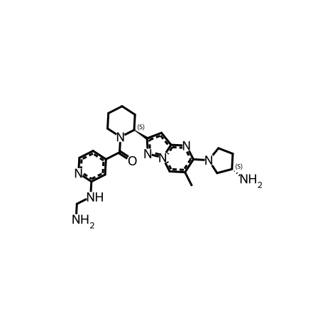 Cc1cn2nc([C@@H]3CCCCN3C(=O)c3ccnc(NCN)c3)cc2nc1N1CC[C@H](N)C1